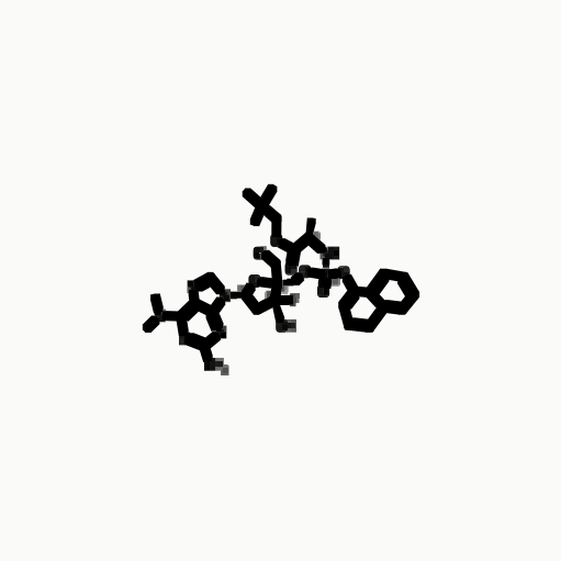 C[C@@H](N[P@](=O)(OC[C@@]1(CCl)O[C@@H](n2cnc3c(N(C)C)nc(N)nc32)C[C@@]1(O)F)Oc1cccc2ccccc12)C(=O)OCC(C)(C)C